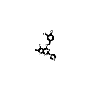 Cc1sc2nc(-n3ccnc3)nc(NCc3ccc(Cl)c(Cl)c3)c2c1Cl